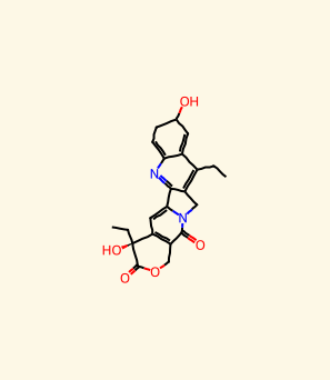 CCc1c2c(nc3c1=CC(O)CC=3)-c1cc3c(c(=O)n1C2)COC(=O)[C@]3(O)CC